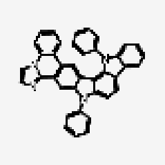 c1ccc(-n2c3cc4c(cc3c3c2ccc2c5ccccc5n(-c5ccccc5)c23)c2ccccc2n2ccnc42)cc1